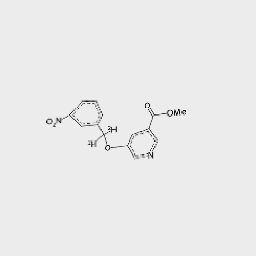 [2H]C([2H])(Oc1cncc(C(=O)OC)c1)c1cccc([N+](=O)[O-])c1